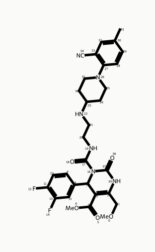 COCC1=C(C(=O)OC)C(c2ccc(F)c(F)c2)N(C(=O)NCCNC2CCN(c3ccc(C)cc3C#N)CC2)C(=O)N1